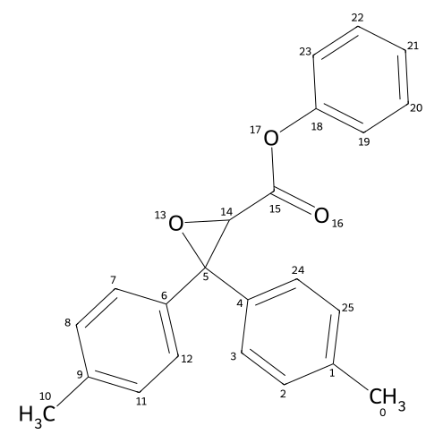 Cc1ccc(C2(c3ccc(C)cc3)OC2C(=O)Oc2ccccc2)cc1